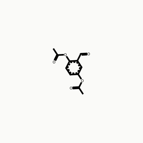 CC(=O)Oc1ccc(OC(C)=O)c([C]=O)c1